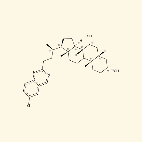 C[C@H](CCc1ncc2cc(Cl)ccc2n1)[C@H]1CC[C@H]2[C@H]3C(CC[C@]12C)[C@@]1(C)CC[C@@H](O)C[C@H]1C[C@H]3O